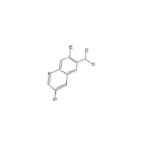 Clc1cnc2cc(Cl)c(C(Cl)Cl)cc2c1